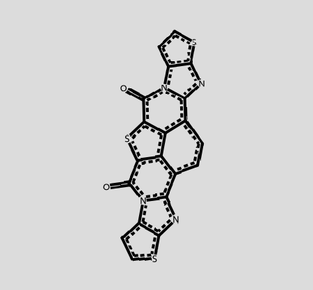 O=c1c2sc3c(=O)n4c5ccsc5nc4c4ccc(c2c34)c2nc3sccc3n12